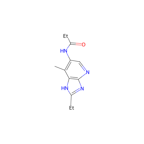 CCC(=O)Nc1cnc2nc(CC)[nH]c2c1C